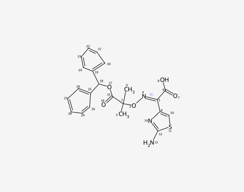 CC(C)(O/N=C(/C(=O)O)c1csc(N)n1)C(=O)OC(c1ccccc1)c1ccccc1